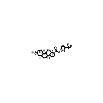 C[C@@]1(O)CC[C@@]2(F)[C@H](CC[C@H]3[C@@H]4CC[C@@H](C(=O)Cn5ccc(C(F)(F)F)n5)[C@@]4(C)CC[C@@H]32)C1